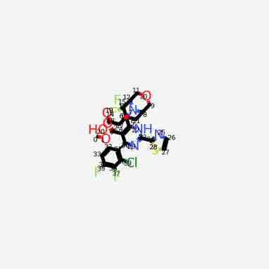 COC(=O)C1=C(CN2C3COCC2C(F)(F)C(CC(=O)O)C3)NC(c2nccs2)=N[C@H]1c1ccc(F)c(F)c1Cl